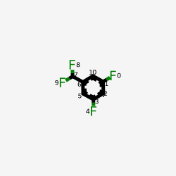 Fc1[c]c(F)cc(C(F)F)c1